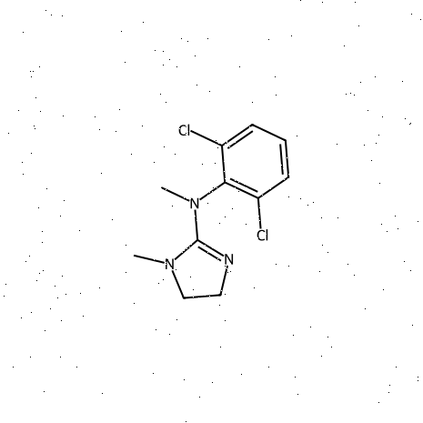 CN1CCN=C1N(C)c1c(Cl)cccc1Cl